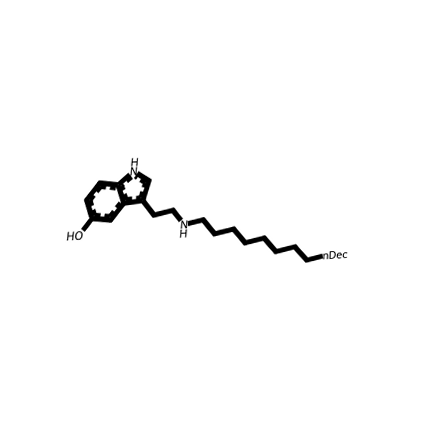 CCCCCCCCCCCCCCCCCCNCCc1c[nH]c2ccc(O)cc12